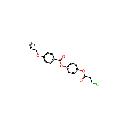 C=CCOc1ccc(C(=O)Oc2ccc(OC(=O)CCCl)cc2)cc1